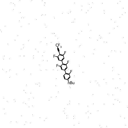 CCCCc1ccc(-c2cc(F)c(-c3cc(F)c(C#CC(F)(F)F)c(F)c3)c(F)c2)c(F)c1